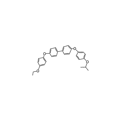 CCOc1ccc(Oc2ccc(-c3ccc(Oc4ccc(OC(C)C)cc4)cc3)cc2)cc1